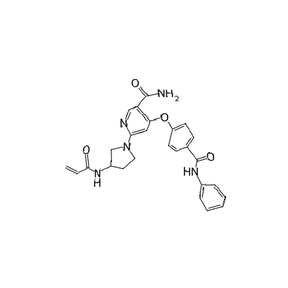 C=CC(=O)NC1CCN(c2cc(Oc3ccc(C(=O)Nc4ccccc4)cc3)c(C(N)=O)cn2)C1